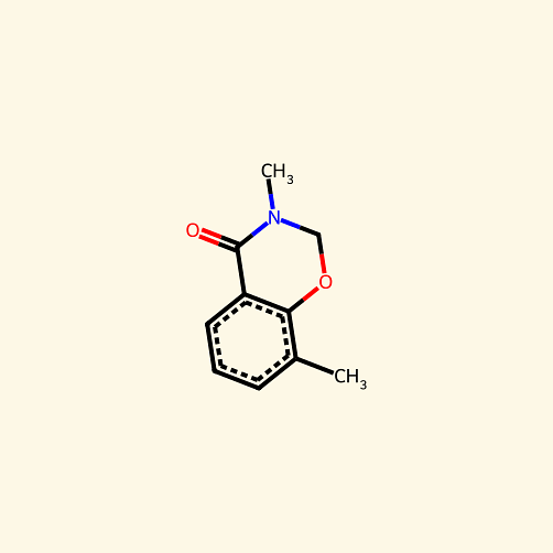 Cc1cccc2c1OCN(C)C2=O